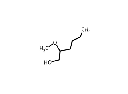 CCCCC(CO)OC